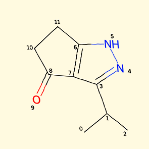 CC(C)c1n[nH]c2c1C(=O)CC2